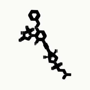 CN(C)CCS(=O)(=O)N1C[C@@H]2C(C#Cc3ccc(OCc4ccccc4)c(N4CC(=O)NS4(=O)=O)c3F)[C@@H]2C1